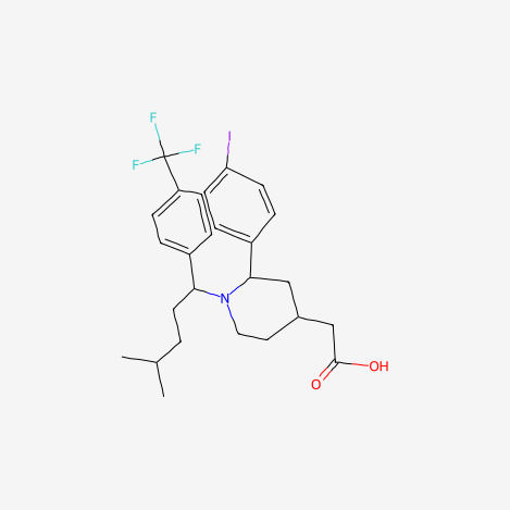 CC(C)CCC(c1ccc(C(F)(F)F)cc1)N1CCC(CC(=O)O)CC1c1ccc(I)cc1